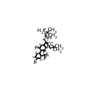 CC(C)(C)Cn1cc(CNSC(C)(C)C)c2cc(F)c(-c3ccc(F)cc3C(F)(F)F)cc21